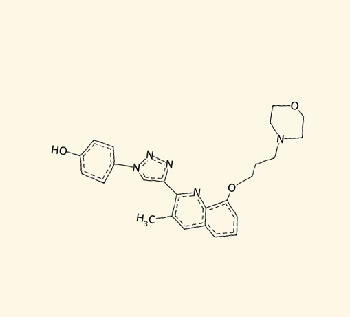 Cc1cc2cccc(OCCCN3CCOCC3)c2nc1-c1cn(-c2ccc(O)cc2)nn1